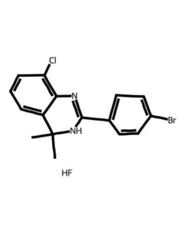 CC1(C)NC(c2ccc(Br)cc2)=Nc2c(Cl)cccc21.F